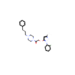 O=C(COc1cc(C(F)(F)F)nn1-c1ccccc1Cl)N1CCN(CCCc2ccccc2)CC1